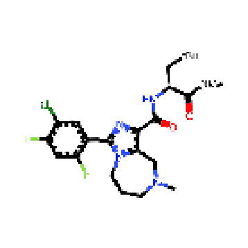 CNC(=O)[C@H](CC(C)(C)C)NC(=O)c1nc(-c2cc(Cl)c(F)cc2F)n2c1CN(C)CCC2